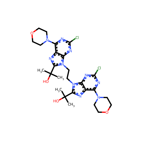 CC(C)(O)c1nc2c(N3CCOCC3)nc(Cl)nc2n1CCn1c(C(C)(C)O)nc2c(N3CCOCC3)nc(Cl)nc21